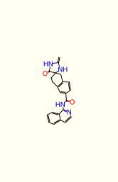 C=C1NC(=O)C2(CCc3cc(C(=O)Nc4nccc5ccccc45)ccc3C2)N1